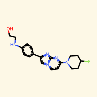 OCCNc1ccc(-c2cn3ccc(N4CCC(F)CC4)nc3n2)cc1